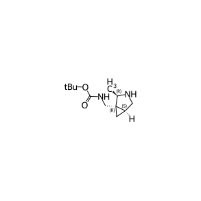 C[C@H]1NC[C@H]2C[C@]21CNC(=O)OC(C)(C)C